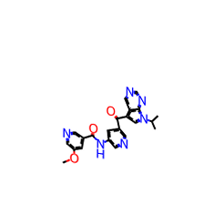 COc1cncc(C(=O)Nc2cncc(C(=O)c3cn(C(C)C)c4ncncc34)c2)c1